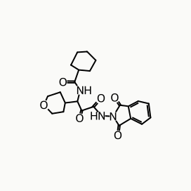 O=C(NN1C(=O)c2ccccc2C1=O)C(=O)C(NC(=O)C1CCCCC1)C1CCOCC1